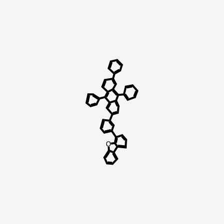 c1ccc(-c2ccc3c(-c4ccccc4)c4cc(-c5cccc(-c6cccc7c6oc6ccccc67)c5)ccc4c(-c4ccccc4)c3c2)cc1